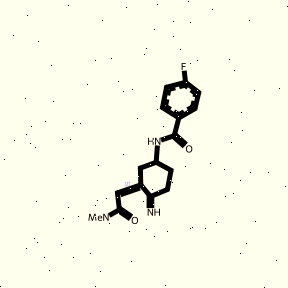 CNC(=O)/C=C1/CC(NC(=O)c2ccc(F)cc2)CCC1=N